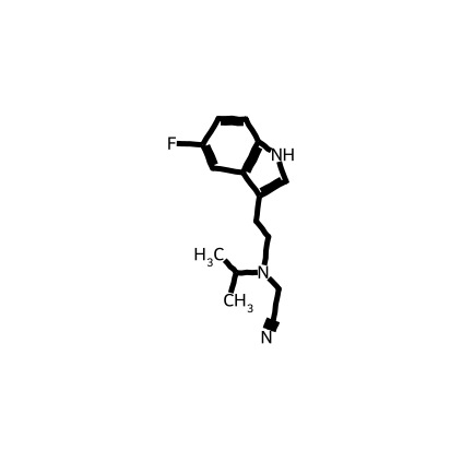 CC(C)N(CC#N)CCc1c[nH]c2ccc(F)cc12